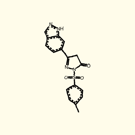 Cc1ccc(S(=O)(=O)N2N=C(c3ccc4cn[nH]c4c3)CC2=O)cc1